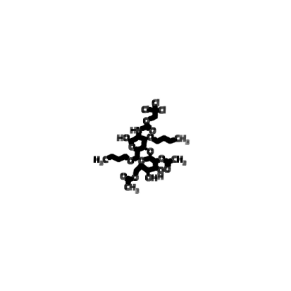 CCCCOCC1O[C@H](O)C(NC(=O)OCC(Cl)(Cl)Cl)[C@@H](OCCCC)[C@@H]1O[C@@H]1OC(COC(C)=O)[C@H](O)C(O)C1OC(C)=O